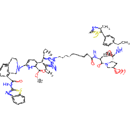 Cc1ncsc1-c1ccc(C(C)NC(=O)[C@@H]2C[C@@H](O)CN2C(=O)C(NC(=O)CCCCCCCn2nc(C)c(-c3ccc(N4CCc5cccc(C(=O)Nc6nc7ccccc7s6)c5C4)nc3C(=O)OC(C)(C)C)c2C)C(C)(C)C)cc1